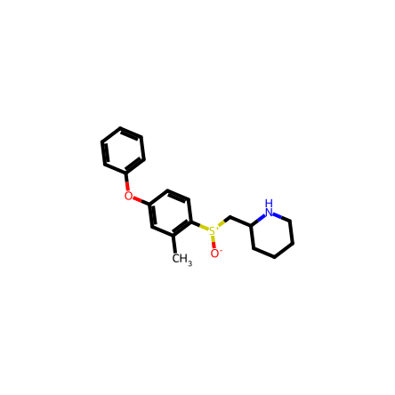 Cc1cc(Oc2ccccc2)ccc1[S+]([O-])CC1CCCCN1